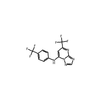 FC(F)(F)c1ccc(Nc2cc(C(F)(F)F)nc3ncnn23)cc1